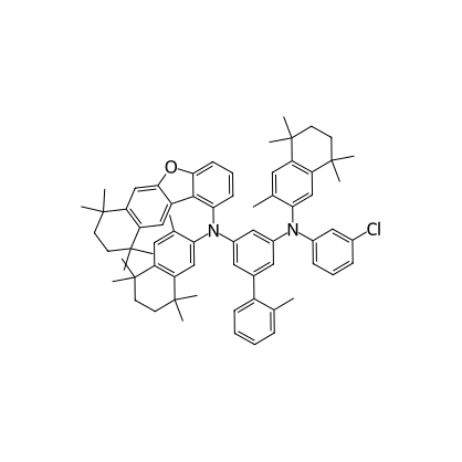 Cc1ccccc1-c1cc(N(c2cccc(Cl)c2)c2cc3c(cc2C)C(C)(C)CCC3(C)C)cc(N(c2cc3c(cc2C)C(C)(C)CCC3(C)C)c2cccc3oc4cc5c(cc4c23)C(C)(C)CCC5(C)C)c1